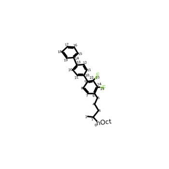 CCCCCCCCC(C)CCCc1ccc(-c2ccc(-c3ccccc3)cc2)c(F)c1F